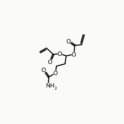 C=CC(=O)OC(CCOC(N)=O)OC(=O)C=C